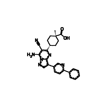 C[C@]1(C(=O)O)CC[C@H](c2nc3c(-c4ccc(-c5ccccc5)nc4)cnn3c(N)c2C#N)CC1